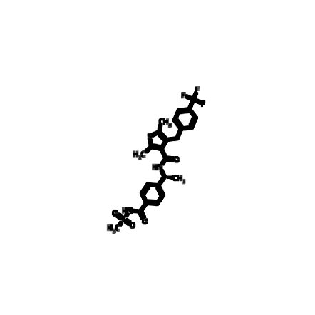 Cc1sc(C)c(C(=O)N[C@@H](C)c2ccc(C(=O)NS(C)(=O)=O)cc2)c1Cc1ccc(C(F)(F)F)cc1